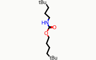 CC(C)(C)CCCCOC(=O)NCCCC(C)(C)C